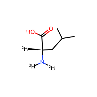 [2H]N([2H])[C@@]([2H])(CC(C)C)C(=O)O